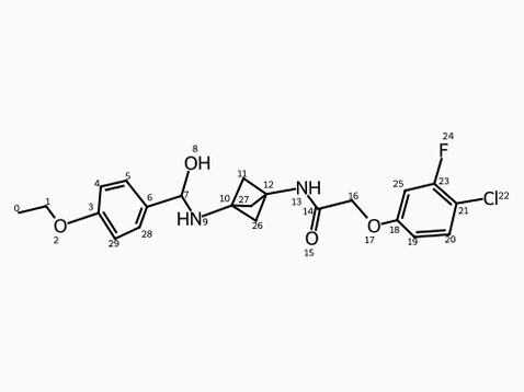 CCOc1ccc(C(O)NC23CC(NC(=O)COc4ccc(Cl)c(F)c4)(C2)C3)cc1